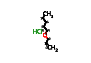 C=CCOCCCCC.Cl